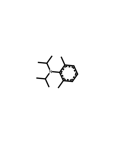 Cc1cccc(C)c1N(C(C)C)C(C)C